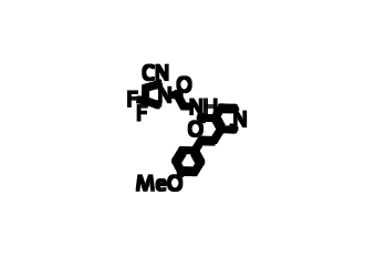 COc1ccc(/C=C/c2cnccc2C(=O)NCC(=O)N2CC(F)(F)C[C@H]2C#N)cc1